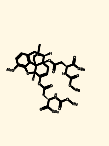 COc1ccc2c3c1O[C@H]1C(OC(=O)C[C@H](NC(=O)OC(C)(C)C)C(=O)OCC(C)C)=CC[C@@]4(OC(=O)C[C@H](NC(=O)OC(C)(C)C)C(=O)OCC(C)C)[C@@H](C2)N(C)CC[C@]314